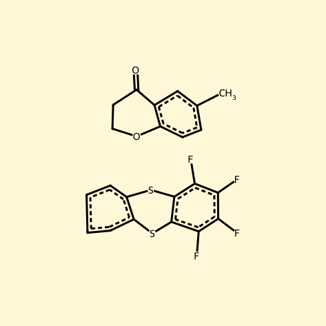 Cc1ccc2c(c1)C(=O)CCO2.Fc1c(F)c(F)c2c(c1F)Sc1ccccc1S2